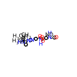 C[C@H]1C2C[C@@H](C[C@@H]1Nc1ccccc1CN1CCN(c3ccc(C(=O)NS(=O)(=O)c4ccc(NCC5CCOCC5)c([N+](=O)[O-])c4)cc3)CC1)C2(C)C